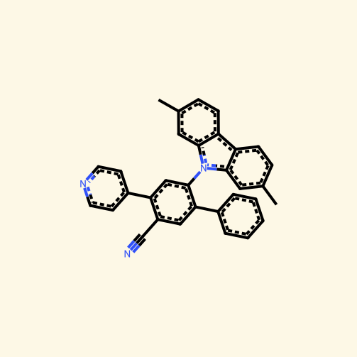 Cc1ccc2c3ccc(C)cc3n(-c3cc(-c4ccncc4)c(C#N)cc3-c3ccccc3)c2c1